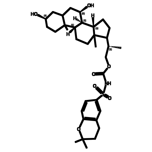 C[C@H](COC(=O)NS(=O)(=O)c1ccc2c(c1)CCC(C)(C)O2)C1CC[C@H]2[C@@H]3[C@H](O)CC4C[C@H](O)CCC4(C)[C@H]3CCC12C